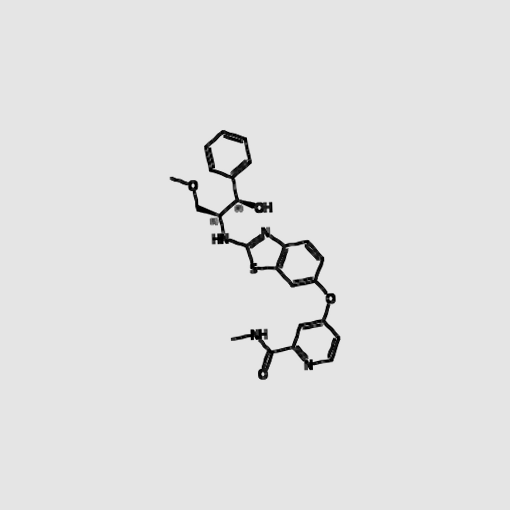 CNC(=O)c1cc(Oc2ccc3nc(N[C@@H](COC)[C@H](O)c4ccccc4)sc3c2)ccn1